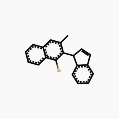 Cc1cc2ccccc2c(Br)c1C1C=Cc2ccccc21